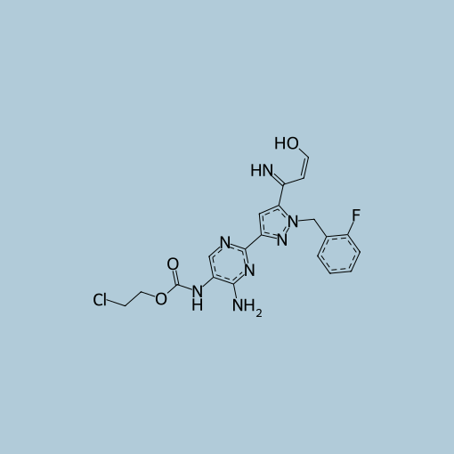 N=C(/C=C\O)c1cc(-c2ncc(NC(=O)OCCCl)c(N)n2)nn1Cc1ccccc1F